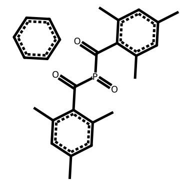 Cc1cc(C)c(C(=O)[P](=O)C(=O)c2c(C)cc(C)cc2C)c(C)c1.c1ccccc1